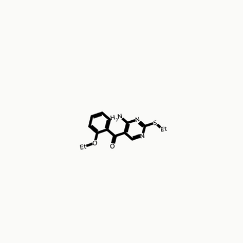 CCOc1ccccc1C(=O)c1cnc(SCC)nc1N